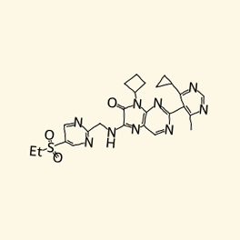 CCS(=O)(=O)c1cnc(CNc2nc3cnc(-c4c(C)ncnc4C4CC4)nc3n(C3CCC3)c2=O)nc1